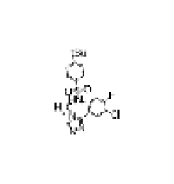 Cn1cnnc1-c1cc(Cl)c(F)cc1NS(=O)(=O)c1ccc(C(C)(C)C)cc1